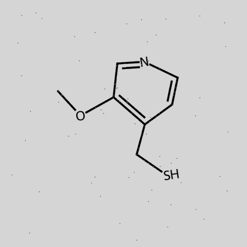 COc1cnccc1CS